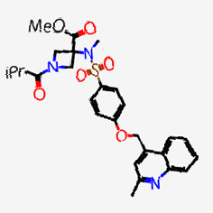 COC(=O)C1(N(C)S(=O)(=O)c2ccc(OCc3cc(C)nc4ccccc34)cc2)CN(C(=O)C(C)C)C1